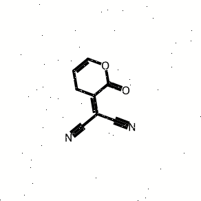 N#CC(C#N)=C1CC=COC1=O